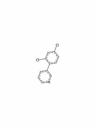 Clc1ccc(-c2cc[c]nc2)c(Cl)c1